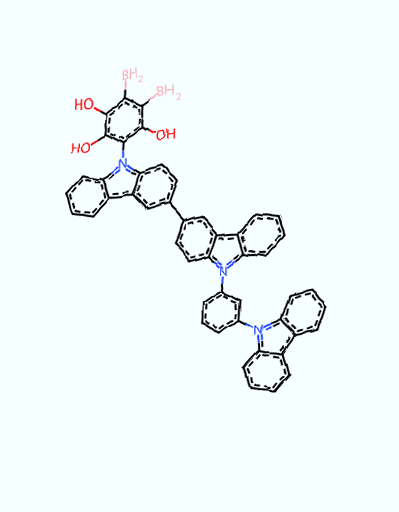 Bc1c(B)c(O)c(-n2c3ccccc3c3cc(-c4ccc5c(c4)c4ccccc4n5-c4cccc(-n5c6ccccc6c6ccccc65)c4)ccc32)c(O)c1O